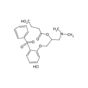 CN(C)CC(COc1ccccc1S(=O)(=O)c1ccccc1)OC(=O)CCC(=O)O.Cl